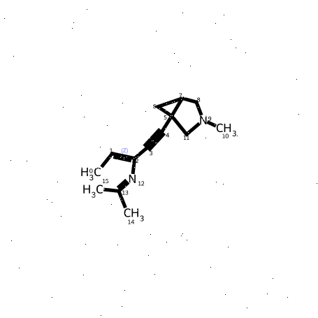 C/C=C(/C#CC12CC1CN(C)C2)N=C(C)C